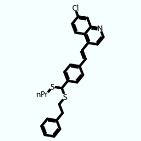 CCCSC(SCCc1ccccc1)c1ccc(/C=C/c2ccnc3cc(Cl)ccc23)cc1